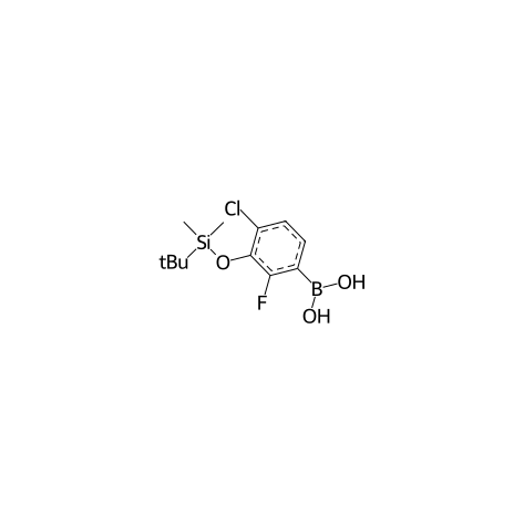 CC(C)(C)[Si](C)(C)Oc1c(Cl)ccc(B(O)O)c1F